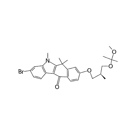 COC(C)(C)OC[C@@H](C)COc1ccc2c(c1)C(C)(C)c1c(c3ccc(Br)cc3n1C)C2=O